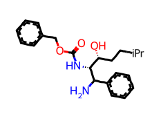 CC(C)CC[C@@H](O)[C@@H](NC(=O)OCc1ccccc1)C(N)c1ccccc1